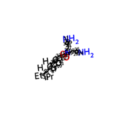 CCC(CCCC1CCC2C3CC=C4CC(OC(=O)N(CCC5CC(N)C5)CCC5CC(N)C5)CCC4(C)C3CCC12C)C(C)C